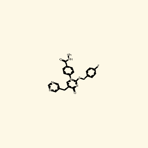 CCCNC(=O)c1ccc(-n2cc(Cc3cncnc3)c(=O)nc2SCc2ccc(F)cc2)cc1